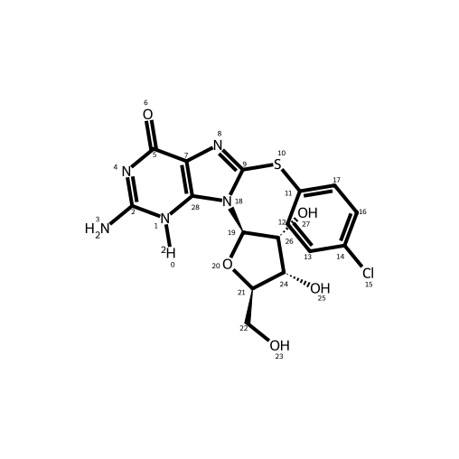 [2H]n1c(N)nc(=O)c2nc(Sc3ccc(Cl)cc3)n([C@@H]3O[C@H](CO)[C@@H](O)[C@H]3O)c21